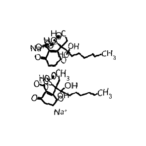 CCCCCCC(O)(O)C(CC)(C1=C(C(=O)[O-])C(=O)CCC1=O)S(=O)(=O)O.CCCCCCC(O)(O)C(CC)(C1=C(C(=O)[O-])C(=O)CCC1=O)S(=O)(=O)O.[Na+].[Na+]